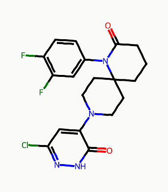 O=C1CCCC2(CCN(c3cc(Cl)n[nH]c3=O)CC2)N1c1ccc(F)c(F)c1